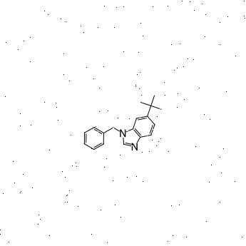 CC(C)(C)c1ccc2ncn(Cc3ccccc3)c2c1